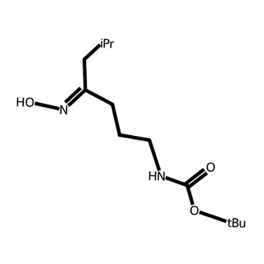 CC(C)C/C(CCCNC(=O)OC(C)(C)C)=N\O